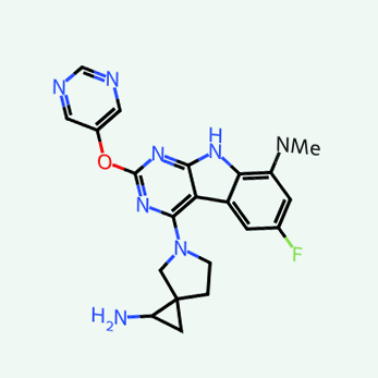 CNc1cc(F)cc2c1[nH]c1nc(Oc3cncnc3)nc(N3CCC4(CC4N)C3)c12